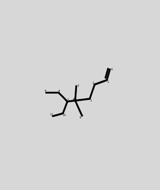 C=CCCC(C)(C)[C](CC)CC